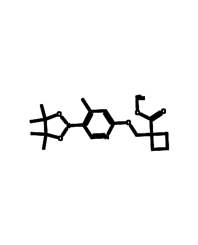 Cc1cc(OCC2(C(=O)OC(C)(C)C)CCC2)ncc1B1OC(C)(C)C(C)(C)O1